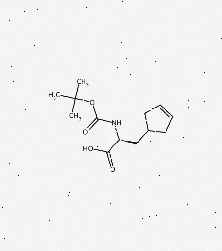 CC(C)(C)OC(=O)N[C@@H](CC1CC=CC1)C(=O)O